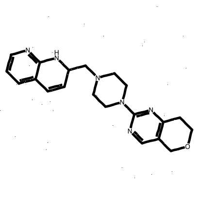 C1=CC(CN2CCN(c3ncc4c(n3)CCOC4)CC2)Nc2ncccc21